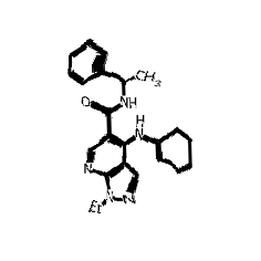 CCn1ncc2c(NC3CCCCC3)c(C(=O)N[C@H](C)c3ccccc3)cnc21